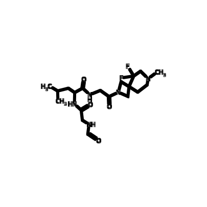 CC(C)CC(NC(=O)CNC=O)C(=O)NCC(=O)N1CC2(CCN(C)CC2(F)F)C1